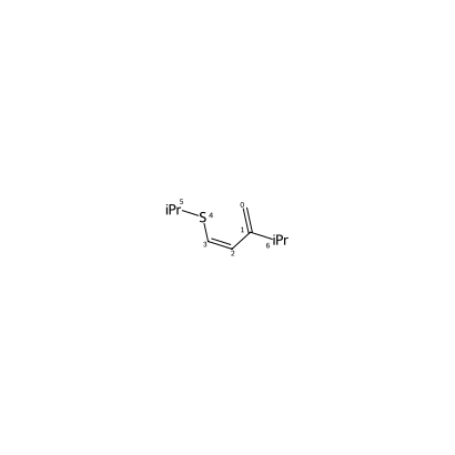 C=C(/C=C\SC(C)C)C(C)C